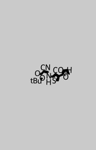 CC(C)(C)OC(=O)C(C#N)=CNc1scc(-c2ccco2)c1C(=O)O